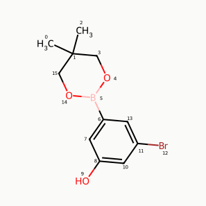 CC1(C)COB(c2cc(O)cc(Br)c2)OC1